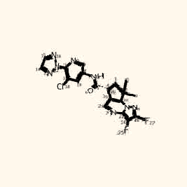 CC1(C)C[C@@H](C(=O)Nc2cnc(-n3nccn3)c(Cl)c2)c2cnc3c(F)c(F)nn3c21